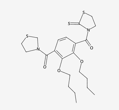 CCCCOc1c(C(=O)N2CCSC2)ccc(C(=O)N2CCSC2=S)c1OCCCC